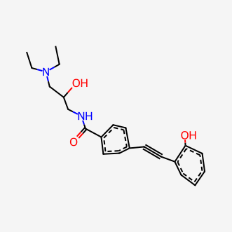 CCN(CC)CC(O)CNC(=O)c1ccc(C#Cc2ccccc2O)cc1